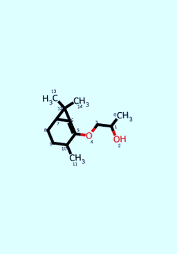 CC(O)COC1=C2C(CCC1C)C2(C)C